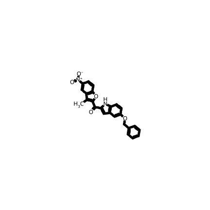 Cc1c(C(=O)c2cc3cc(OCc4ccccc4)ccc3[nH]2)oc2ccc([N+](=O)[O-])cc12